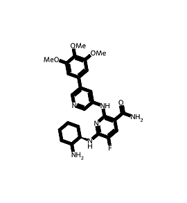 COc1cc(-c2cncc(Nc3nc(N[C@@H]4CCCCC4N)c(F)cc3C(N)=O)c2)cc(OC)c1OC